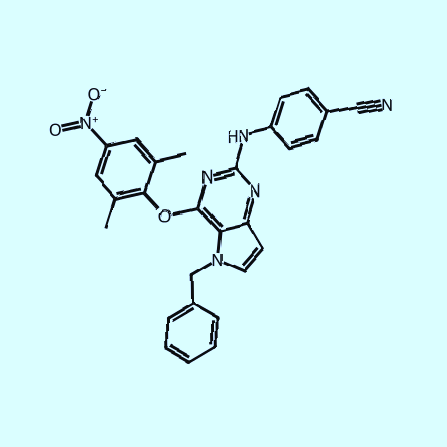 Cc1cc([N+](=O)[O-])cc(C)c1Oc1nc(Nc2ccc(C#N)cc2)nc2ccn(Cc3ccccc3)c12